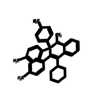 Cc1ccc(C2=C(C3CCCCC3)c3ccccc3[O+](C)[B-]2(c2ccc(C)cc2)c2ccc(C)cc2)cc1